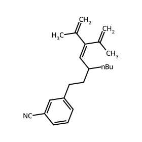 C=C(C)C(=CC(CCCC)CCc1cccc(C#N)c1)C(=C)C